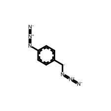 [N-]=[N+]=N[CH]c1ccc(N=[N+]=[N-])cc1